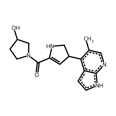 Cc1cnc2[nH]ccc2c1C1C=C(C(=O)N2CCC(O)C2)NC1